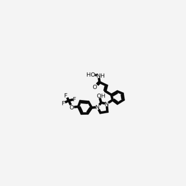 O=C(/C=C/c1ccccc1N1CCN(c2ccc(OC(F)(F)F)cc2)C1O)NO